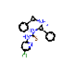 NC1CC1c1ccccc1.S=C(Nc1ccc(Cl)cn1)NC1CC1c1ccccc1